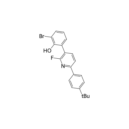 CC(C)(C)c1ccc(-c2ccc(-c3cccc(Br)c3O)c(F)n2)cc1